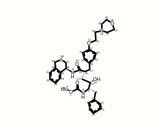 CC(C)(C)OC(=O)N[C@@H](Cc1ccccc1)[C@@H](O)C[C@@H](Cc1ccc(OCCN2CCOCC2)cc1)C(=O)N[C@@H]1CSCc2ccccc21